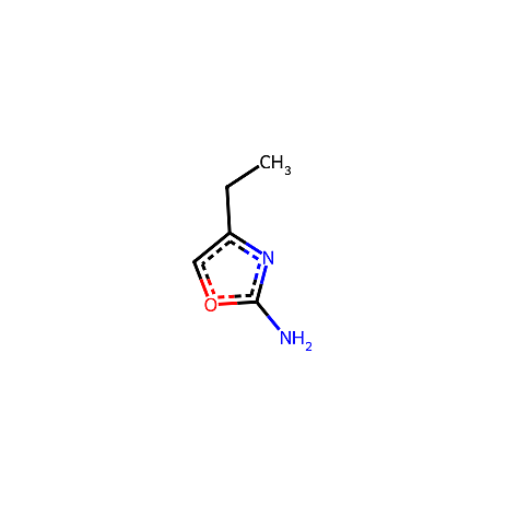 CCc1coc(N)n1